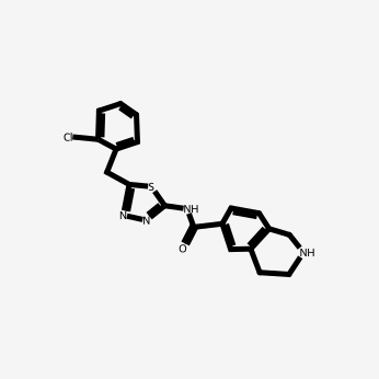 O=C(Nc1nnc(Cc2ccccc2Cl)s1)c1ccc2c(c1)CCNC2